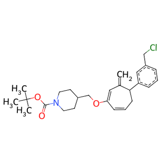 C=C1C=C(OCC2CCN(C(=O)OC(C)(C)C)CC2)C=CCC1c1cccc(CCl)c1